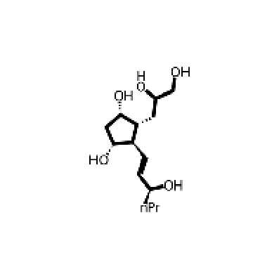 CCC[C@H](O)/C=C/[C@@H]1[C@@H](CC(O)CO)[C@@H](O)C[C@H]1O